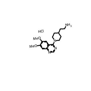 COc1cc2ncnc(N3CCC(CCN)CC3)c2cc1OC.Cl